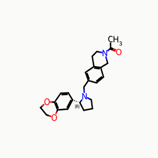 CC(=O)N1CCc2cc(CN3CCC[C@@H]3c3ccc4c(c3)OCCO4)ccc2C1